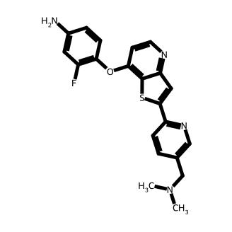 CN(C)Cc1ccc(-c2cc3nccc(Oc4ccc(N)cc4F)c3s2)nc1